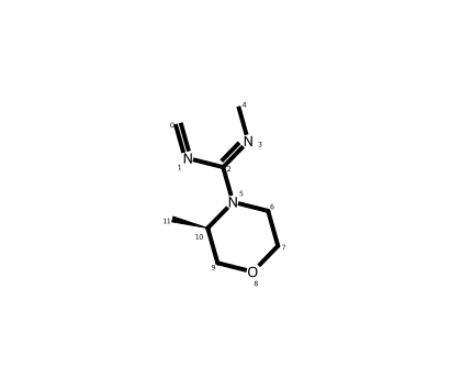 C=N/C(=N\C)N1CCOC[C@H]1C